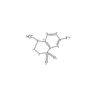 CC1CCS(=O)(=O)c2cc(F)ccc21